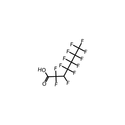 O=C(O)C(F)(F)C(F)C(F)(F)C(F)(F)C(F)(F)C(F)(F)F